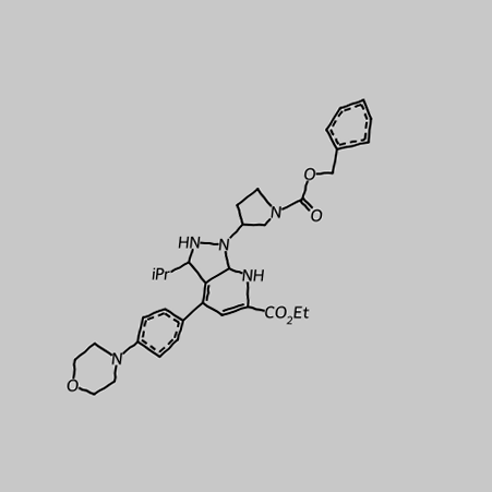 CCOC(=O)C1=CC(c2ccc(N3CCOCC3)cc2)=C2C(C(C)C)NN(C3CCN(C(=O)OCc4ccccc4)C3)C2N1